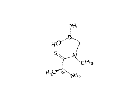 C[C@H](N)C(=S)N(C)CB(O)O